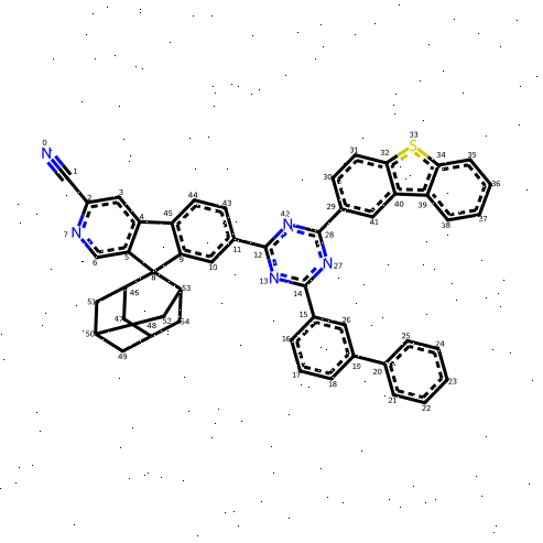 N#Cc1cc2c(cn1)C1(c3cc(-c4nc(-c5cccc(-c6ccccc6)c5)nc(-c5ccc6sc7ccccc7c6c5)n4)ccc3-2)C2CC3CC(C2)CC1C3